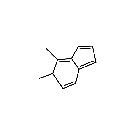 CC1=C2C=CC=C2C=CC1C